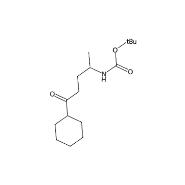 CC(CCC(=O)C1CCCCC1)NC(=O)OC(C)(C)C